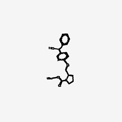 CC(C)(C)OC(=O)N1CCCC1COc1ccc(C(O)c2ccccc2)cn1